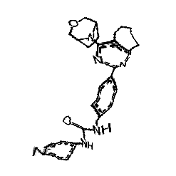 O=C(Nc1ccncc1)Nc1ccc(-c2nc3c(c(N4C5CCC4COC5)n2)CCC3)cc1